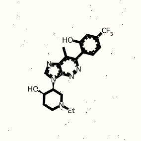 CCN1CC[C@@H](O)[C@@H](n2cnc3c(C)c(-c4ccc(C(F)(F)F)cc4O)nnc32)C1